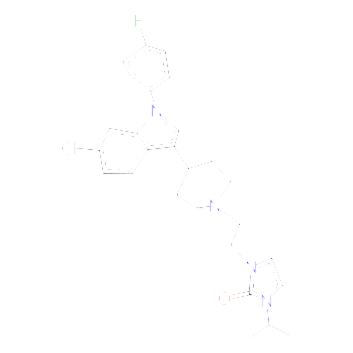 CC(C)n1ccn(CCN2CCC(c3cn(-c4ccc(F)cc4)c4cc(Cl)ccc34)CC2)c1=O